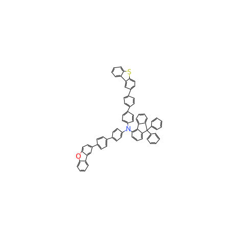 c1ccc(C2(c3ccccc3)c3ccccc3-c3c(N(c4ccc(-c5ccc(-c6ccc7oc8ccccc8c7c6)cc5)cc4)c4ccc(-c5ccc(-c6ccc7sc8ccccc8c7c6)cc5)cc4)cccc32)cc1